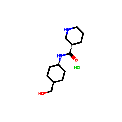 Cl.O=C(N[C@H]1CC[C@H](CO)CC1)[C@H]1CCCNC1